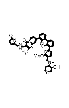 COc1nc(-c2cccc(-c3cccc(-c4ccn5c(=O)c(CNCC6CCC(=O)N6)c(C)nc5c4)c3Cl)c2Cl)ccc1CN[C@H]1CCOC[C@@H]1O